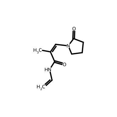 C=CNC(=O)C(C)=CN1CCCC1=O